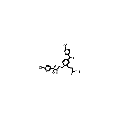 COc1ccc(C(=O)c2ccc(CCNS(=O)(=O)c3ccc(Cl)cc3)c(CCC(=O)O)c2)cc1